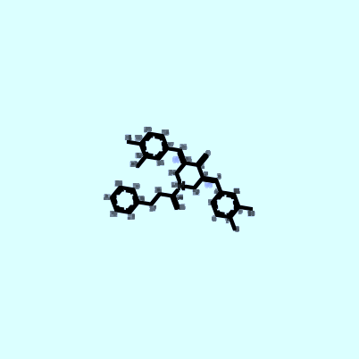 C=C1/C(=C/c2ccc(C)c(C)c2)CN(C(=C)CCc2ccccc2)C/C1=C\c1ccc(C)c(C)c1